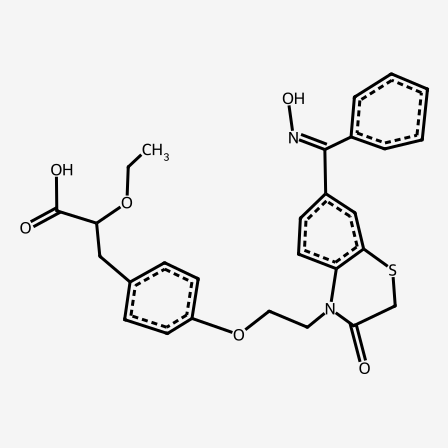 CCOC(Cc1ccc(OCCN2C(=O)CSc3cc(C(=NO)c4ccccc4)ccc32)cc1)C(=O)O